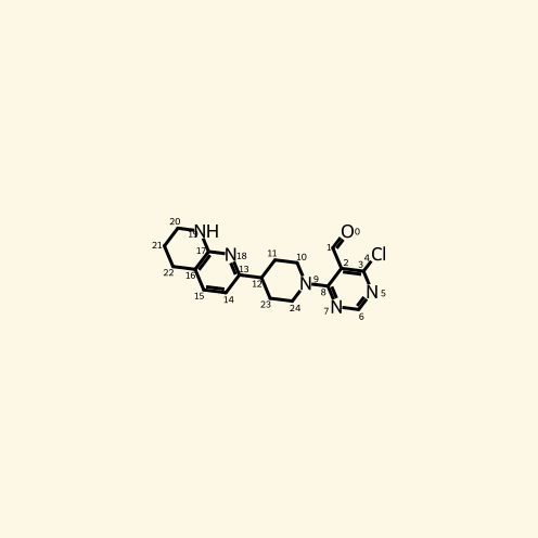 O=Cc1c(Cl)ncnc1N1CCC(c2ccc3c(n2)NCCC3)CC1